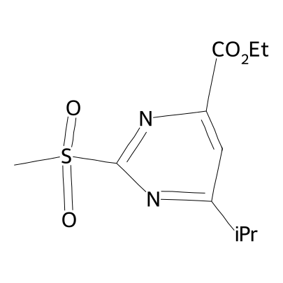 CCOC(=O)c1cc(C(C)C)nc(S(C)(=O)=O)n1